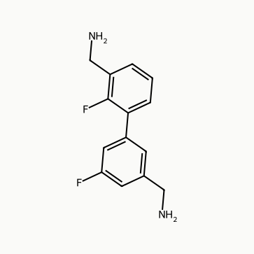 NCc1cc(F)cc(-c2cccc(CN)c2F)c1